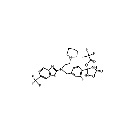 O=C1NC(OC(=O)C(F)(F)F)(c2ccc(CN(CCN3CCCCC3)c3nc4ccc(C(F)(F)F)cc4s3)cc2F)NO1